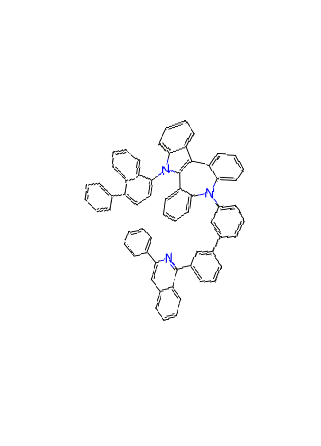 c1ccc(-c2cc3ccccc3c(-c3cccc(-c4cccc(N5c6ccccc6-c6c(n(-c7ccc(-c8ccccc8)c8ccccc78)c7ccccc67)-c6ccccc65)c4)c3)n2)cc1